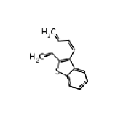 C=C/C=C\c1c(C=C)sc2ccccc12